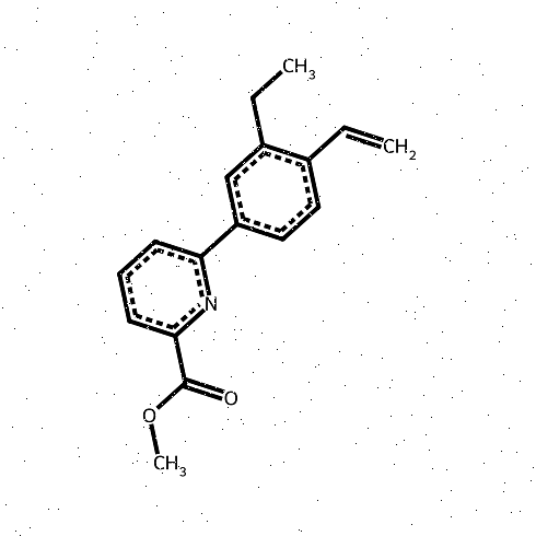 C=Cc1ccc(-c2cccc(C(=O)OC)n2)cc1CC